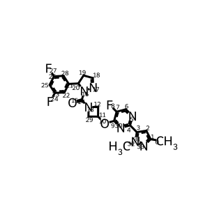 Cc1cc(-c2ncc(F)c(OC3CN(C(=O)N4N=CCC4c4cc(F)cc(F)c4)C3)n2)n(C)n1